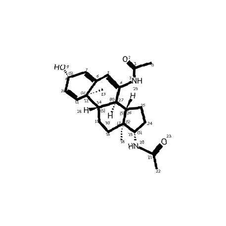 CC(=O)NC1=CC2=C[C@@H](O)C=C[C@]2(C)[C@H]2CC[C@]3(C)[C@@H](NC(C)=O)CC[C@H]3[C@H]12